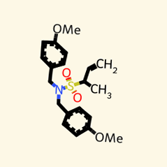 C=CC(C)S(=O)(=O)N(Cc1ccc(OC)cc1)Cc1ccc(OC)cc1